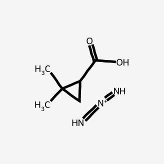 CC1(C)CC1C(=O)O.N=[N+]=N